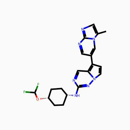 Cc1cnc2ncc(-c3ccn4nc(N[C@H]5CC[C@@H](OC(F)F)CC5)ncc34)cn12